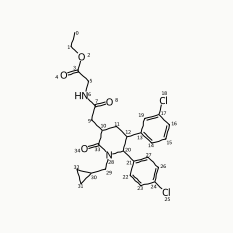 CCOC(=O)CNC(=O)CC1CC(c2cccc(Cl)c2)C(c2ccc(Cl)cc2)N(CC2CC2)C1=O